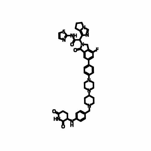 O=C1CCC(Nc2ccc(CN3CCC(N4CCN(c5ccc(-c6cc(F)c7c(c6)C(=O)N(C(C(=O)Nc6nccs6)c6ncn8c6CCC8)C7)cc5)CC4)CC3)cc2)C(=O)N1